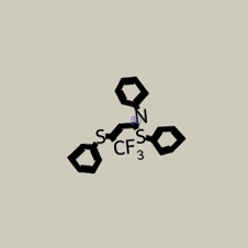 FC(F)(F)C(=C/C(=N\c1ccccc1)Sc1ccccc1)Sc1ccccc1